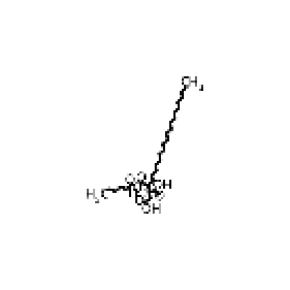 CCCCCCCCCCCCCCCCCCCCC(C(=O)OC(=O)CCCCC)C(O)(CC(=O)O)C(=O)O